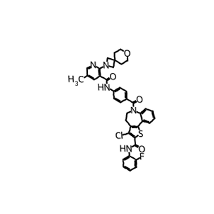 Cc1cnc(N2CC3(CCOCC3)C2)c(C(=O)Nc2ccc(C(=O)N3CCc4c(sc(C(=O)Nc5ccccc5F)c4Cl)-c4ccccc43)cc2)c1